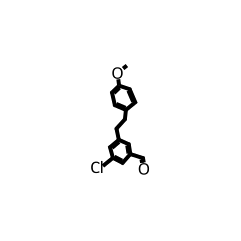 COc1ccc(CCc2cc(Cl)cc(C=O)c2)cc1